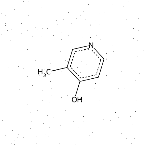 Cc1cn[c]cc1O